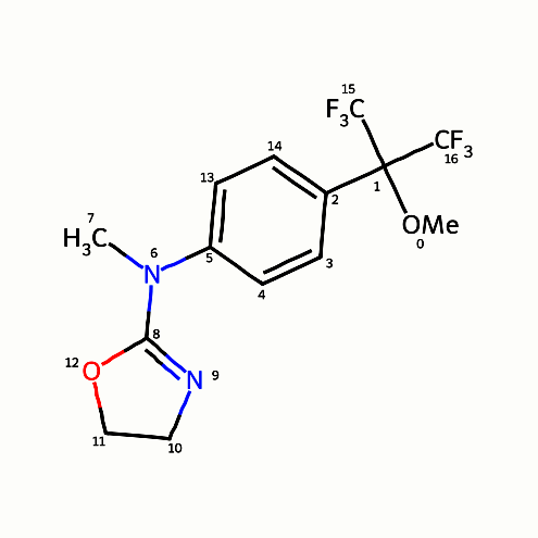 COC(c1ccc(N(C)C2=NCCO2)cc1)(C(F)(F)F)C(F)(F)F